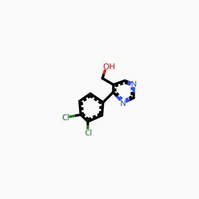 OCc1cncnc1-c1ccc(Cl)c(Cl)c1